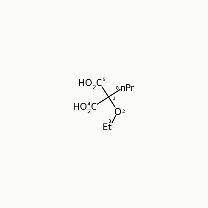 CCCC(OCC)(C(=O)O)C(=O)O